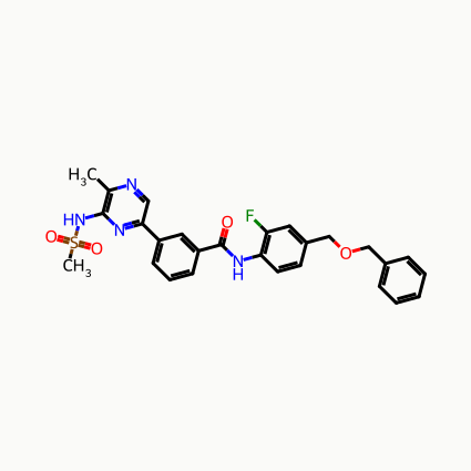 Cc1ncc(-c2cccc(C(=O)Nc3ccc(COCc4ccccc4)cc3F)c2)nc1NS(C)(=O)=O